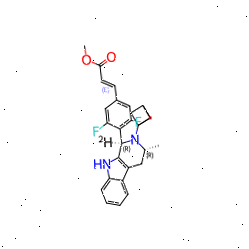 [2H][C@@]1(c2c(F)cc(/C=C/C(=O)OC)cc2F)c2[nH]c3ccccc3c2C[C@@H](C)N1C12CC(C1)C2